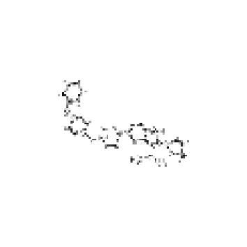 CC(C)c1c(-c2cn[nH]c2)[nH]c2ccc(C3CCN(Cc4ccc(Oc5ncccn5)cc4)CC3)cc12